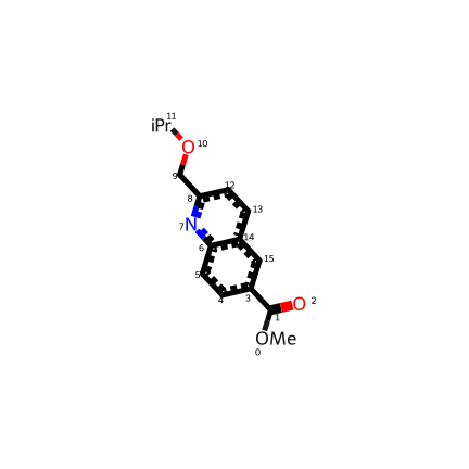 COC(=O)c1ccc2nc(COC(C)C)ccc2c1